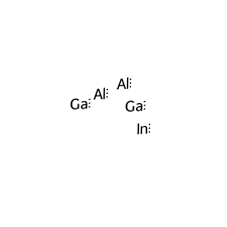 [Al].[Al].[Ga].[Ga].[In]